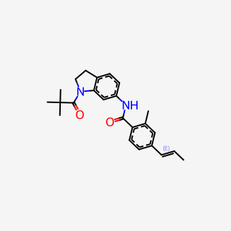 C/C=C/c1ccc(C(=O)Nc2ccc3c(c2)N(C(=O)C(C)(C)C)CC3)c(C)c1